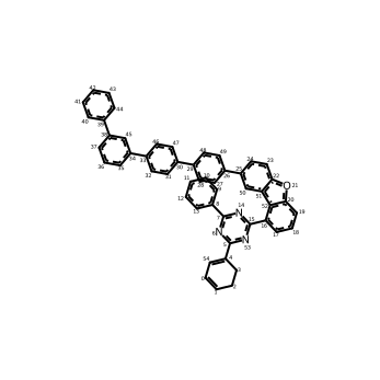 C1=CCCC(c2nc(-c3ccccc3)nc(-c3cccc4oc5ccc(-c6ccc(-c7ccc(-c8cccc(-c9ccccc9)c8)cc7)cc6)cc5c34)n2)=C1